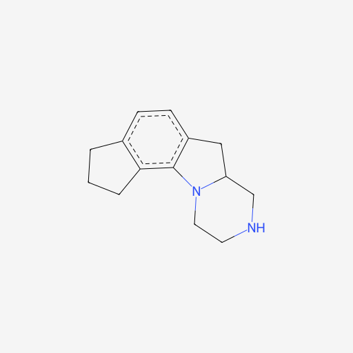 c1cc2c(c3c1CCC3)N1CCNCC1C2